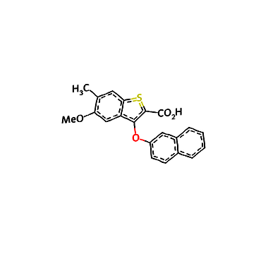 COc1cc2c(Oc3ccc4ccccc4c3)c(C(=O)O)sc2cc1C